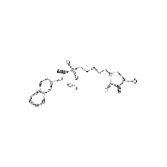 C[C@@H](NS(=O)(=O)CCCCCN1CC(=O)NC1=O)c1ccc2ccccc2c1